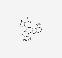 Cc1cccc2cc([C@H]3c4nc[nH]c4CCN3C(=O)c3ocnc3C(F)F)nn12